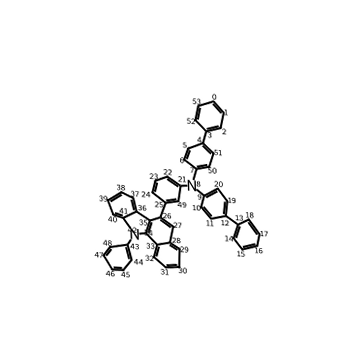 c1ccc(-c2ccc(N(c3ccc(-c4ccccc4)cc3)c3cccc(-c4cc5ccccc5c5c4c4ccccc4n5-c4ccccc4)c3)cc2)cc1